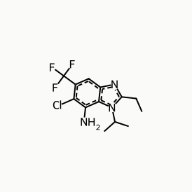 CCc1nc2cc(C(F)(F)F)c(Cl)c(N)c2n1C(C)C